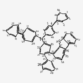 c1ccc(-c2ccc(N(c3ccc(-c4ccccc4)cc3)c3ccc(-c4ccccc4)c(-c4cccc5c4sc4ccccc45)c3)cc2)cc1